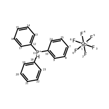 [F][Sb-]([F])([F])([F])([F])[F].c1ccc([PH+](c2ccccc2)c2ccccc2)cc1